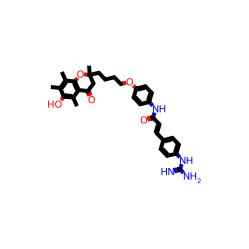 Cc1c(C)c2c(c(C)c1O)C(=O)CC(C)(CCCCOc1ccc(NC(=O)C=Cc3ccc(NC(=N)N)cc3)cc1)O2